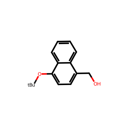 CC(C)(C)Oc1ccc(CO)c2ccccc12